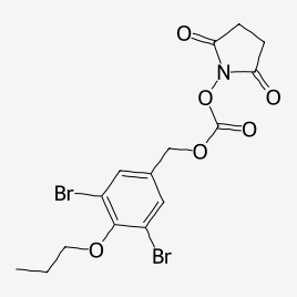 CCCOc1c(Br)cc(COC(=O)ON2C(=O)CCC2=O)cc1Br